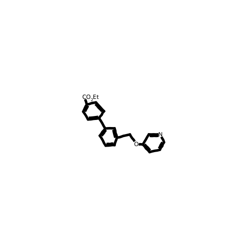 CCOC(=O)c1ccc(-c2cccc(COc3cccnc3)c2)cc1